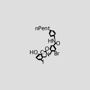 CCCCCc1ccc(CNC(=O)c2ccc(CN(Cc3ccccc3I)C(=O)C(=O)O)c(Br)c2)cc1